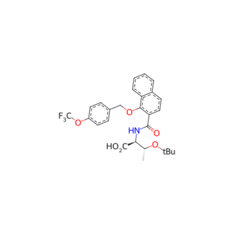 C[C@@H](OC(C)(C)C)[C@H](NC(=O)c1ccc2ccccc2c1OCc1ccc(OC(F)(F)F)cc1)C(=O)O